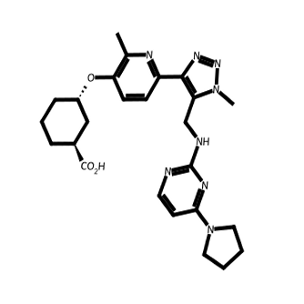 Cc1nc(-c2nnn(C)c2CNc2nccc(N3CCCC3)n2)ccc1O[C@H]1CCC[C@H](C(=O)O)C1